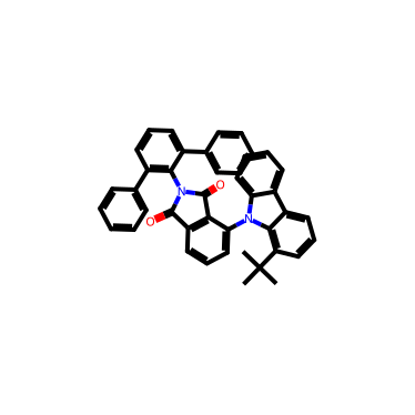 CC(C)(C)c1cccc2c3ccccc3n(-c3cccc4c3C(=O)N(c3c(-c5ccccc5)cccc3-c3ccccc3)C4=O)c12